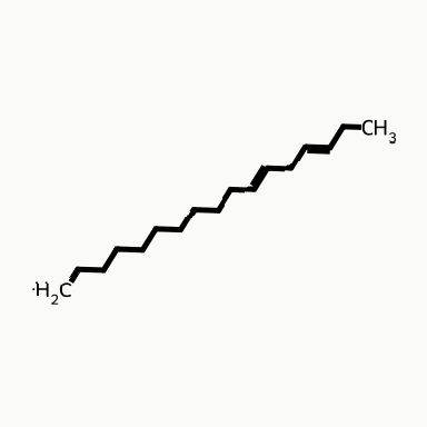 [CH2]CCCCCCCCCC=CCC=CCC